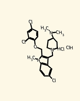 CN(C)C1CCN(Cc2c(COc3ccc(Cl)cc3Cl)n(C)c3ccc(Cl)cc23)CC1.Cl.Cl